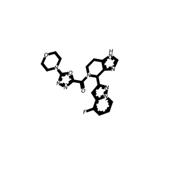 O=C(c1nnc(N2CCOCC2)o1)N1CCc2[nH]cnc2C1c1cc2c(F)cccn2n1